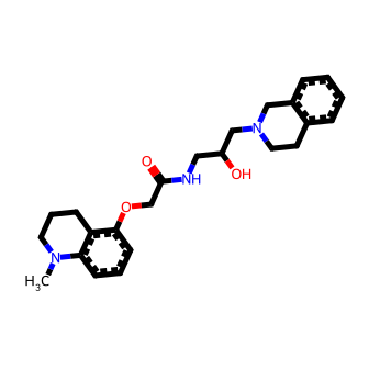 CN1CCCc2c(OCC(=O)NCC(O)CN3CCc4ccccc4C3)cccc21